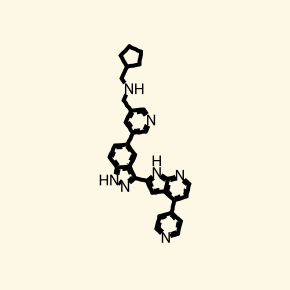 c1cc(-c2ccnc3[nH]c(-c4n[nH]c5ccc(-c6cncc(CNCC7CCCC7)c6)cc45)cc23)ccn1